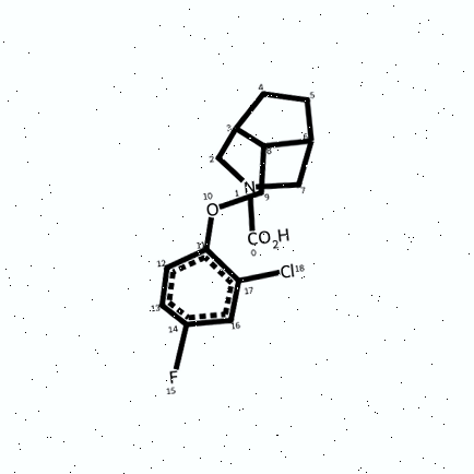 O=C(O)N1CC2CCC(C1)C2COc1ccc(F)cc1Cl